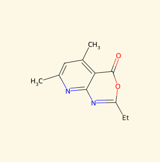 CCc1nc2nc(C)cc(C)c2c(=O)o1